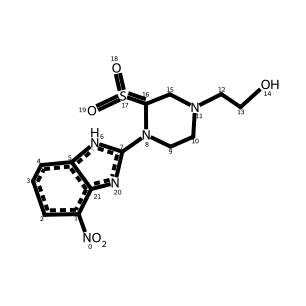 O=[N+]([O-])c1cccc2[nH]c(N3CCN(CCO)CC3=S(=O)=O)nc12